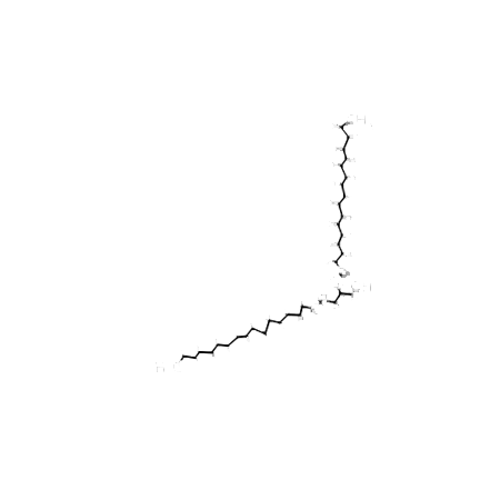 CCCCCCCCCCCCCCCCOOCC(CO)OOCCCCCCCCCCCCCCCC